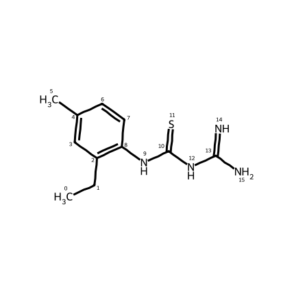 CCc1cc(C)ccc1NC(=S)NC(=N)N